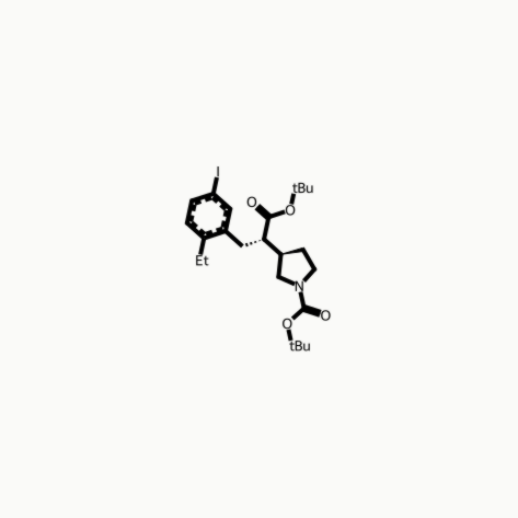 CCc1ccc(I)cc1C[C@H](C(=O)OC(C)(C)C)[C@H]1CCN(C(=O)OC(C)(C)C)C1